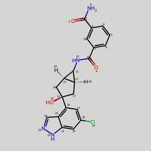 NC(=O)c1cccc(C(=O)NC2[C@H]3C[C@](O)(c4cc(Cl)cc5[nH]ncc45)C[C@@H]23)c1